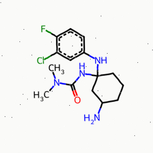 CN(C)C(=O)NC1(Nc2ccc(F)c(Cl)c2)CCCC(N)C1